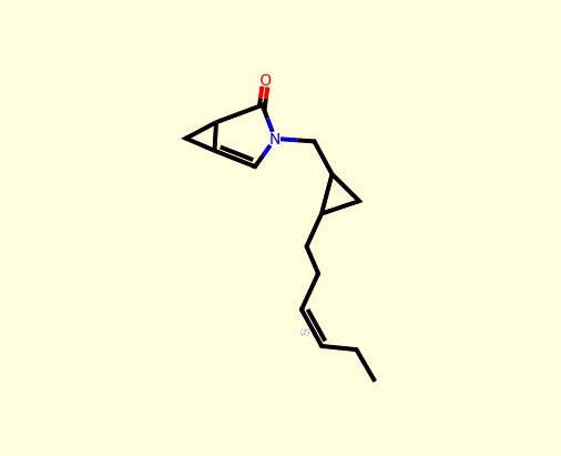 CC/C=C\CCC1CC1CN1C=C2CC2C1=O